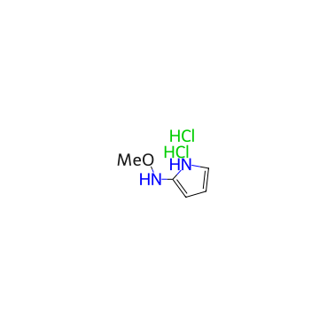 CONc1ccc[nH]1.Cl.Cl